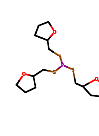 C1COC(CSP(SCC2CCCO2)SCC2CCCO2)C1